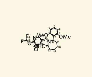 COc1cccc(OC)c1C1CCCCC(C=O)N1Cc1cnc(OC(F)F)c(Cl)c1